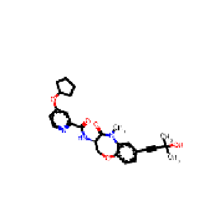 CN1C(=O)[C@H](NC(=O)c2cc(OC3CCCC3)ccn2)COc2ccc(C#CC(C)(C)O)cc21